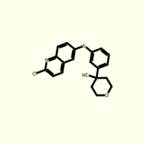 N#CC1(c2cccc(Sc3ccc4nc(Cl)ccc4c3)c2)CCOCC1